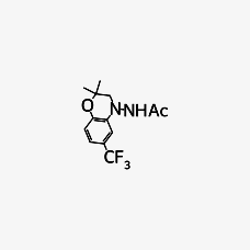 CC(=O)NN1CC(C)(C)Oc2ccc(C(F)(F)F)cc21